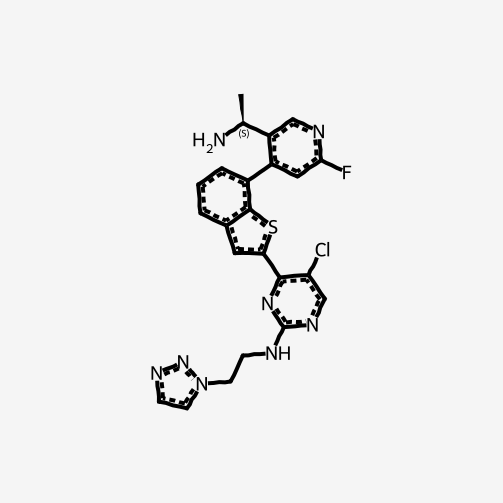 C[C@H](N)c1cnc(F)cc1-c1cccc2cc(-c3nc(NCCn4ccnn4)ncc3Cl)sc12